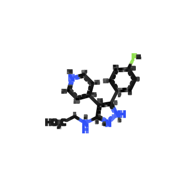 O=C(O)CNc1n[nH]c(-c2ccc(F)cc2)c1-c1ccncc1